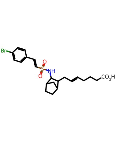 O=C(O)CCC/C=C/CC1C2CCC(C2)C1NS(=O)(=O)/C=C/c1ccc(Br)cc1